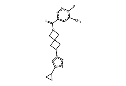 Cc1cc(C(=O)N2CC3(CC(n4cnc(C5CC5)c4)C3)C2)cnc1F